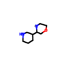 C1CNCC(C2COCC[N]2)C1